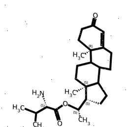 CC(C)[C@H](N)C(=O)O[C@@H](C)[C@H]1CCC2C3CCC4=CC(=O)CC[C@]4(C)C3CC[C@@]21C